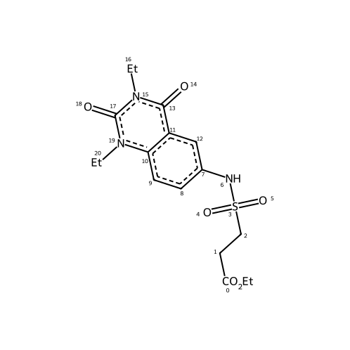 CCOC(=O)CCS(=O)(=O)Nc1ccc2c(c1)c(=O)n(CC)c(=O)n2CC